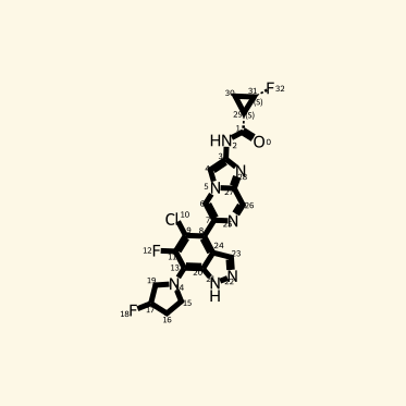 O=C(Nc1cn2cc(-c3c(Cl)c(F)c(N4CCC(F)C4)c4[nH]ncc34)ncc2n1)[C@@H]1C[C@@H]1F